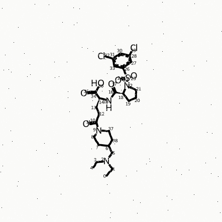 CCN(CC)CC1CCN(C(=O)CC[C@H](NC(=O)[C@@H]2CCCN2S(=O)(=O)c2cc(Cl)cc(Cl)c2)C(=O)O)CC1